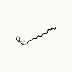 CCCCCCCCCCCCCCC(C)O[C]=O